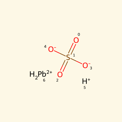 O=S(=O)([O-])[O-].[H+].[PbH2+2]